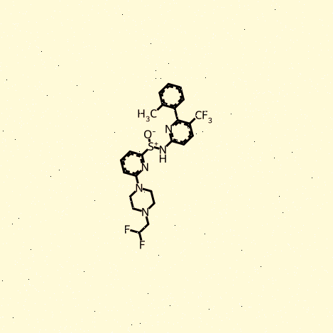 Cc1ccccc1-c1nc(N[S+]([O-])c2cccc(N3CCN(CC(F)F)CC3)n2)ccc1C(F)(F)F